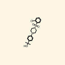 CC(C)(O)c1ccc(N2CCN(S(=O)(=O)c3ccccc3Cl)CC2)cc1